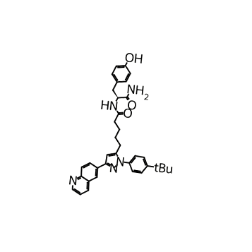 CC(C)(C)c1ccc(-n2nc(-c3ccc4ncccc4c3)cc2CCCCC(=O)N[C@@H](Cc2ccc(O)cc2)C(N)=O)cc1